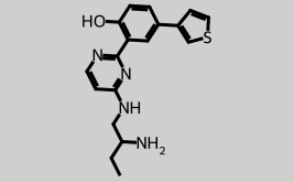 CCC(N)CNc1ccnc(-c2cc(-c3ccsc3)ccc2O)n1